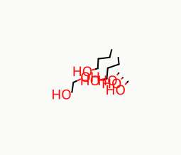 CCCCO.CCCCO.CO.CO.CO.OCCO